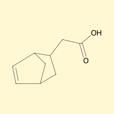 O=C(O)CC1CC2C=CC1C2